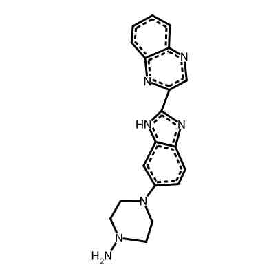 NN1CCN(c2ccc3nc(-c4cnc5ccccc5n4)[nH]c3c2)CC1